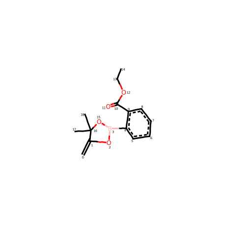 C=C1OB(c2ccccc2C(=O)OCC)OC1(C)C